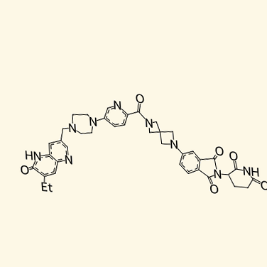 CCc1cc2ncc(CN3CCN(c4ccc(C(=O)N5CC6(C5)CN(c5ccc7c(c5)C(=O)N(C5CCC(=O)NC5=O)C7=O)C6)nc4)CC3)cc2[nH]c1=O